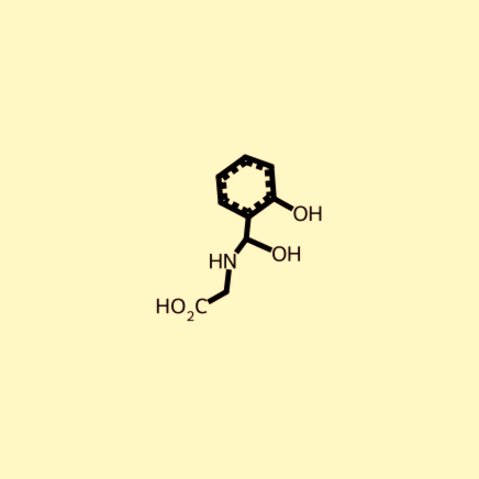 O=C(O)CNC(O)c1ccccc1O